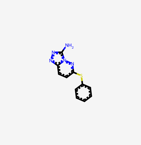 Nc1nnc2ccc(Sc3ccccc3)nn12